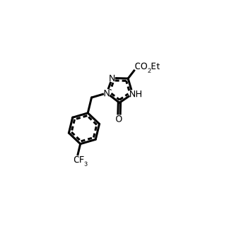 CCOC(=O)c1nn(Cc2ccc(C(F)(F)F)cc2)c(=O)[nH]1